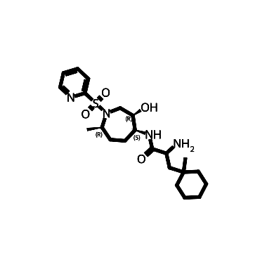 C[C@@H]1CC[C@H](NC(=O)C(N)CC2(C)CCCCC2)[C@H](O)CN1S(=O)(=O)c1ccccn1